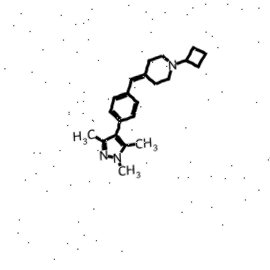 Cc1nn(C)c(C)c1-c1ccc(C=C2CCN(C3CCC3)CC2)cc1